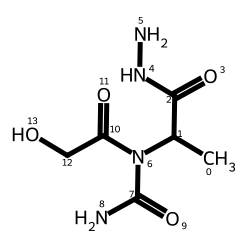 CC(C(=O)NN)N(C(N)=O)C(=O)CO